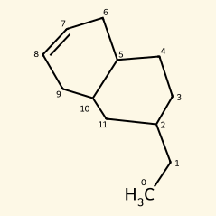 CCC1CCC2CC=CCC2C1